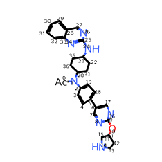 CC(=O)N(c1ccc(-c2cnc(O[C@H]3CCNC3)nc2)cc1)C1CCC(Nc2ncc3ccccc3n2)CC1